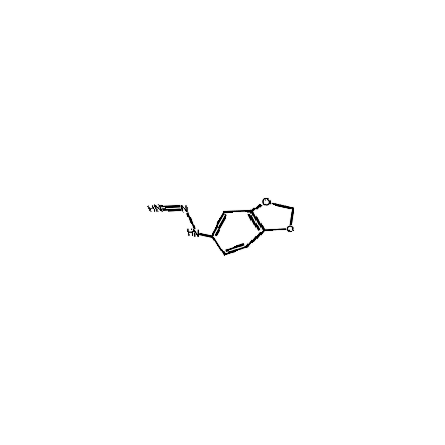 N=NNc1ccc2c(c1)OCO2